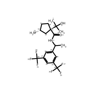 CC(NC(=O)[C@@]1(C(C)(C)O)CC[C@@H](N)C1)c1cc(C(F)(F)F)cc(C(F)(F)F)c1